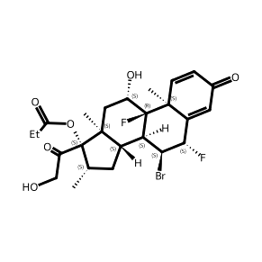 CCC(=O)O[C@@]1(C(=O)CO)[C@@H](C)C[C@H]2[C@@H]3[C@H](Br)[C@@H](F)C4=CC(=O)C=C[C@]4(C)[C@@]3(F)[C@@H](O)C[C@@]21C